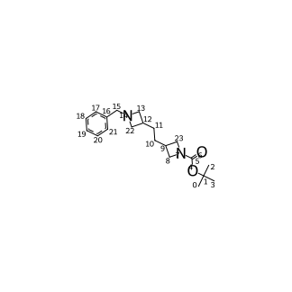 CC(C)(C)OC(=O)N1CC(CCC2CN(Cc3ccccc3)C2)C1